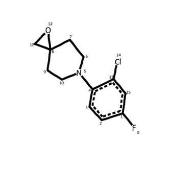 Fc1ccc(N2CCC3(CC2)CO3)c(Cl)c1